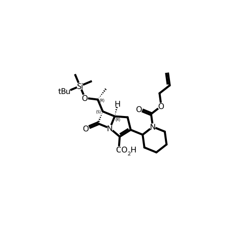 C=CCOC(=O)N1CCCCC1C1=C(C(=O)O)N2C(=O)[C@H]([C@@H](C)O[Si](C)(C)C(C)(C)C)[C@H]2C1